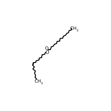 CCCCCCCC/C=C\CCCCCCCCOC(=O)CCCCCCCCCCCCCCCC